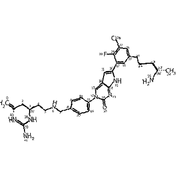 C=CC[C@@H](CCNCc1ccc(-n2cc3cc(-c4cc(CCC[C@H](C)N)cc(Cl)c4F)[nH]c3nc2=O)cc1)NC(=N)N